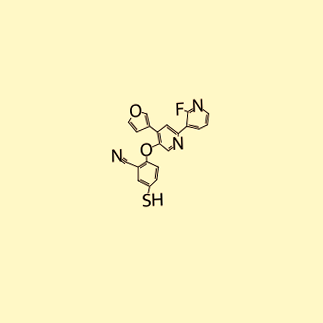 N#Cc1cc(S)ccc1Oc1cnc(-c2cccnc2F)cc1-c1ccoc1